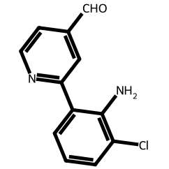 Nc1c(Cl)cccc1-c1cc(C=O)ccn1